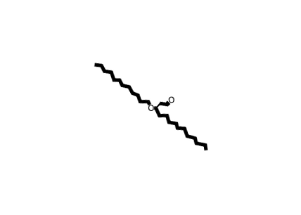 CCCCCCCCCCCCO[C@@H](CC=O)CCCCCCCCCCC